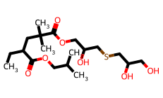 CCC(CC(C)(C)C(=O)OCC(O)CSCC(O)CO)C(=O)OCC(C)C